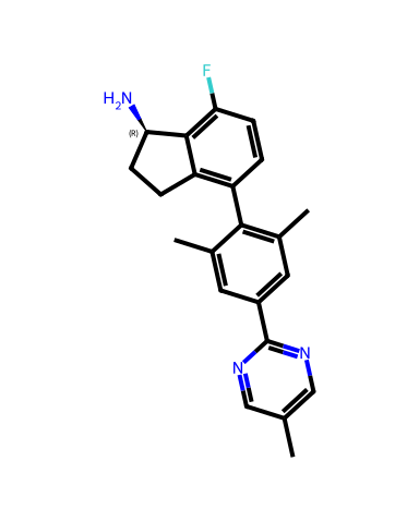 Cc1cnc(-c2cc(C)c(-c3ccc(F)c4c3CC[C@H]4N)c(C)c2)nc1